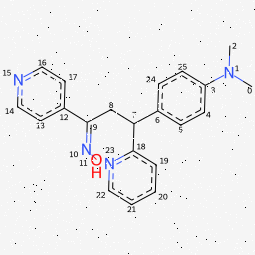 CN(C)c1ccc(C(C/C(=N\O)c2ccncc2)c2ccccn2)cc1